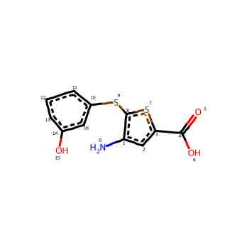 Nc1cc(C(=O)O)sc1Sc1cccc(O)c1